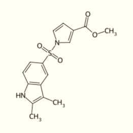 COC(=O)c1ccn(S(=O)(=O)c2ccc3[nH]c(C)c(C)c3c2)c1